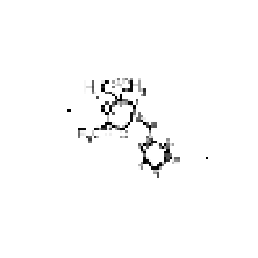 CC1(C)CN(Cc2ccccc2)CC(C(F)(F)F)O1